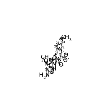 CCO/N=C(\C(=O)NC1C(=O)N2C(C(=O)[O-])=C(C[n+]3cccc(CSC)c3)CS[C@H]12)c1nsc(N)n1